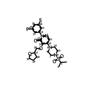 CC(C)S(=O)(=O)N1CCN(c2cnn(-c3cc(F)cc(F)c3)c(=O)c2OCC2CCCO2)CC1